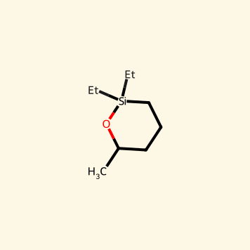 CC[Si]1(CC)CCCC(C)O1